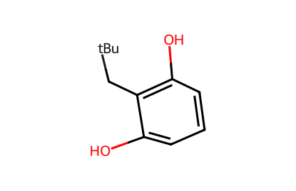 CC(C)(C)Cc1c(O)cccc1O